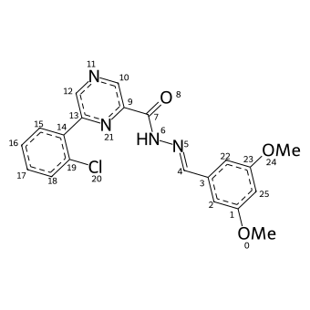 COc1cc(C=NNC(=O)c2cncc(-c3ccccc3Cl)n2)cc(OC)c1